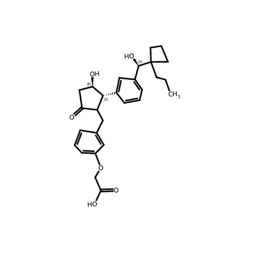 CCCC1([C@H](O)c2cccc([C@@H]3C(Cc4cccc(OCC(=O)O)c4)C(=O)C[C@H]3O)c2)CCC1